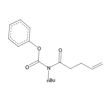 C=CCCC(=O)N(CCCC)C(=O)Oc1ccccc1